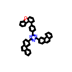 C1=CC2Oc3ccccc3C2C(c2ccc(-c3nc(-c4ccc5ccc6ccccc6c5c4)nc(-c4ccc5ccc6ccccc6c5c4)n3)cc2)=C1